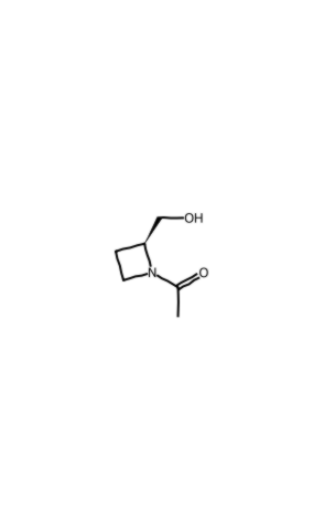 CC(=O)N1CC[C@H]1CO